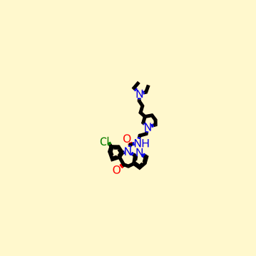 CCN(CC)CCCC1CCCN(CCNC(=O)N2c3cc(Cl)ccc3C(=O)Cc3cccnc32)C1